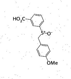 COc1ccc(C[S+]([O-])c2cccc(C(=O)O)c2)cc1